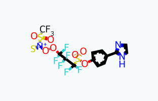 O=S(=O)(Oc1ccc(-c2ncc[nH]2)cc1)C(F)(F)C(F)(F)C(F)(F)OO[N+](=S)S(=O)(=O)C(F)(F)F